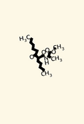 CCCCCCC(=O)C(CCCCC)C(=O)NC(C)C(=O)OC